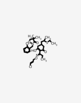 CC1(C)CON(Cc2ccccc2Cl)C1=O.CCSC(C)CC1CC(=O)C(/C(CC)=N/OC/C=C/Cl)=C(O)C1